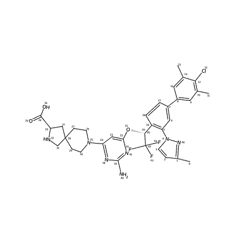 Cc1ccn(-c2cc(-c3cc(C)c(Cl)c(C)c3)ccc2[C@@H](Oc2cc(N3CCC4(CC3)CNC(C(=O)O)C4)nc(N)n2)C(F)(F)F)n1